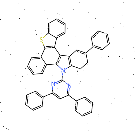 C1=C(c2ccccc2)CCc2c1c1c3c4ccccc4sc3c3ccccc3c1n2-c1nc(-c2ccccc2)cc(-c2ccccc2)n1